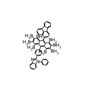 Bc1c(B)c(B)c2c(-c3ccc4c5c(cccc35)-c3ccccc3-4)c3c(B)c(B)c(B)c(B)c3c(-c3ccc(-c4nc5ccccc5n4-c4ccccc4)cc3)c2c1B